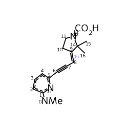 CNc1cccc(C#C/C=C2\CCN(C(=O)O)C2(C)C)n1